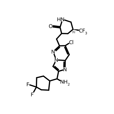 NC(c1cn2nc(CC3C[C@H](C(F)(F)F)CNC3=O)c(Cl)cc2n1)C1CCC(F)(F)CC1